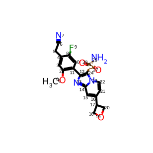 COc1cc(CC#N)c(F)cc1-c1nc2cc(C3COC3)ccn2c1S(N)(=O)=O